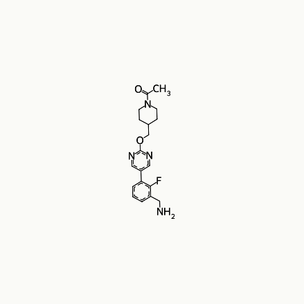 CC(=O)N1CCC(COc2ncc(-c3cccc(CN)c3F)cn2)CC1